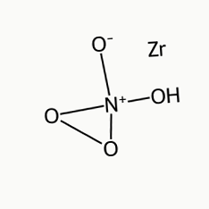 [O-][N+]1(O)OO1.[Zr]